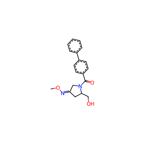 CON=C1CC(CO)N(C(=O)c2ccc(-c3ccccc3)cc2)C1